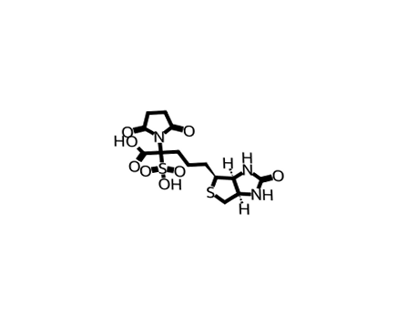 O=C1N[C@H]2[C@H](CS[C@H]2CCCC(C(=O)O)(N2C(=O)CCC2=O)S(=O)(=O)O)N1